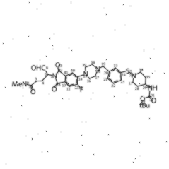 CNC(=O)CCC(C=O)N1C(=O)c2cc(F)c(N3CCN(Cc4cccc(SN5CCC(NC(=O)OC(C)(C)C)CC5)c4)CC3)cc2C1=O